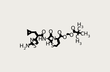 CC(C)(C)C(=O)OCOC(=O)C1=CCS[C@@H]2[C@H](NC(=O)/C(=C/C3CC3)c3csc(N)n3)C(=O)N12